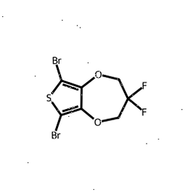 FC1(F)COc2c(Br)sc(Br)c2OC1